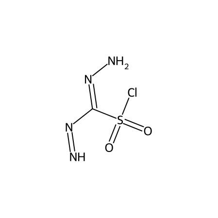 N=NC(=NN)S(=O)(=O)Cl